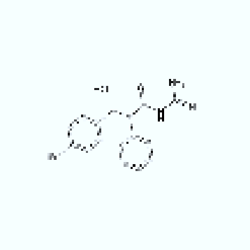 CC(C)c1ccc(CC(C(=O)NC(=N)N)c2ccccc2)cc1.Cl